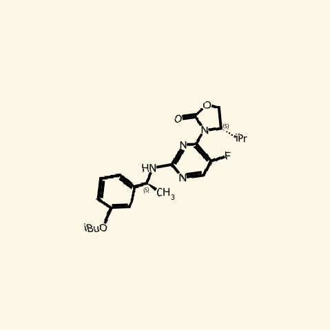 CC(C)COc1cccc([C@H](C)Nc2ncc(F)c(N3C(=O)OC[C@@H]3C(C)C)n2)c1